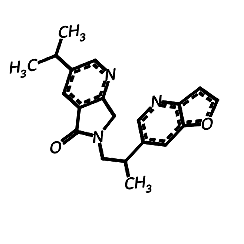 CC(C)c1cnc2c(c1)C(=O)N(CC(C)c1cnc3ccoc3c1)C2